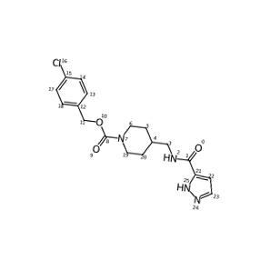 O=C(NCC1CCN(C(=O)OCc2ccc(Cl)cc2)CC1)c1ccn[nH]1